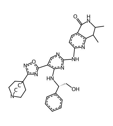 CC1NC(=O)c2ccc(Nc3ncc(-c4nc(C56CCN(CC5)CC6)no4)c(N[C@H](CO)c4ccccc4)n3)nc2C1C